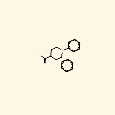 Cl.NC(=O)C1CCN(c2ccccc2)CC1.c1ccccc1